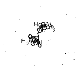 COC(=O)C(Cc1ccccc1OCCCCC1CCN(C(=O)OC(C)(C)C)CC1)NS(=O)(=O)Cc1ccccc1